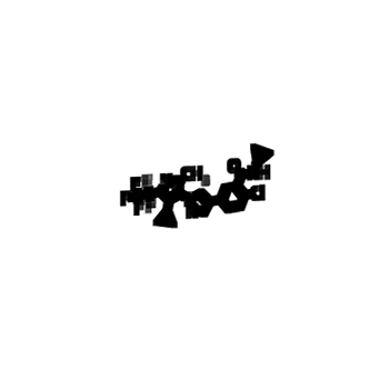 Cn1nc(C(F)(F)C(F)(F)F)c(C2CC2)c1-n1cc(-c2ccc(Cl)c(C(=O)NC3CC3)c2)cn1